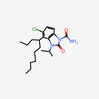 CCCCCCC(CCC)c1c(Cl)ccc2c1n(C(C)C)c(=O)n2C(N)=O